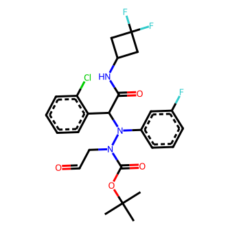 CC(C)(C)OC(=O)N(CC=O)N(c1cccc(F)c1)C(C(=O)NC1CC(F)(F)C1)c1ccccc1Cl